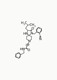 CC(C)CC1NC2(CCN(SOC(=O)NCc3ccccc3)CC2)N(Cc2ccccc2C#N)C1=O